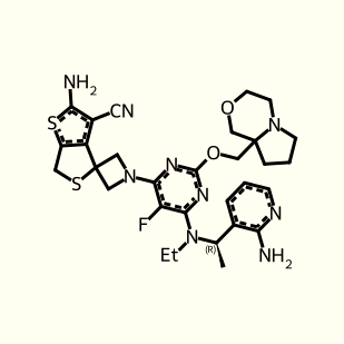 CCN(c1nc(OCC23CCCN2CCOC3)nc(N2CC3(C2)SCc2sc(N)c(C#N)c23)c1F)[C@H](C)c1cccnc1N